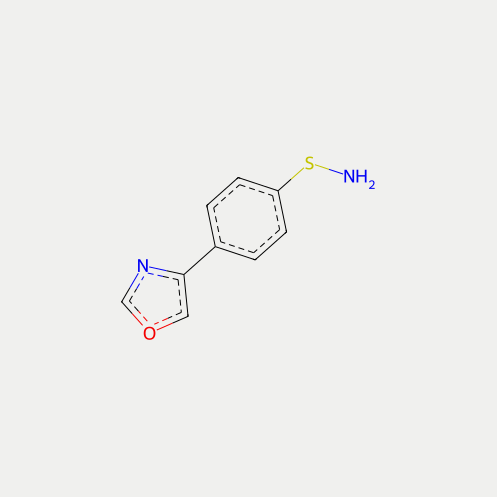 NSc1ccc(-c2cocn2)cc1